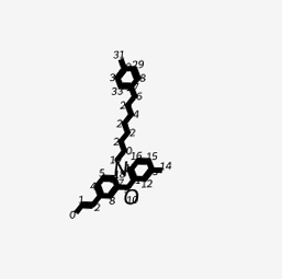 CC=Cc1ccc2c(c1)c(=O)c1cc(C)ccc1n2CCCCCCCCc1ccc(C)cc1